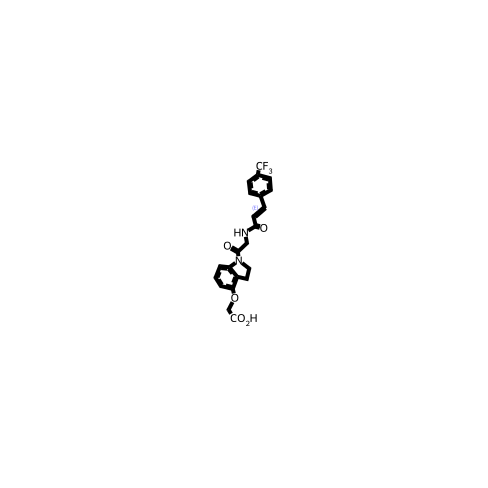 O=C(O)COc1cccc2c1CCN2C(=O)CNC(=O)/C=C/c1ccc(C(F)(F)F)cc1